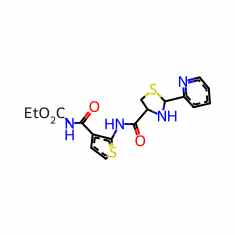 CCOC(=O)NC(=O)c1ccsc1NC(=O)C1CSC(c2ccccn2)N1